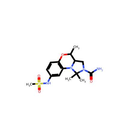 CC1Oc2ccc(NS(C)(=O)=O)cc2N2C1CN(C(N)=O)C2(C)C